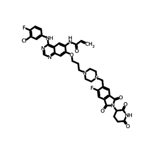 C=CC(=O)Nc1cc2c(Nc3ccc(F)c(Cl)c3)ncnc2cc1OCCCN1CCN(Cc2cc3c(cc2F)C(=O)N(C2CCC(=O)NC2=O)C3=O)CC1